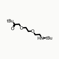 CC(C)(C)NCCOCCOCC(=O)C(C)(C)C